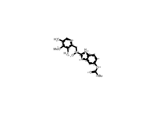 COc1c(C)cnc(C[S+]([O-])c2nc3cc(OC(=O)C(C)(C)C)ccc3[nH]2)c1C